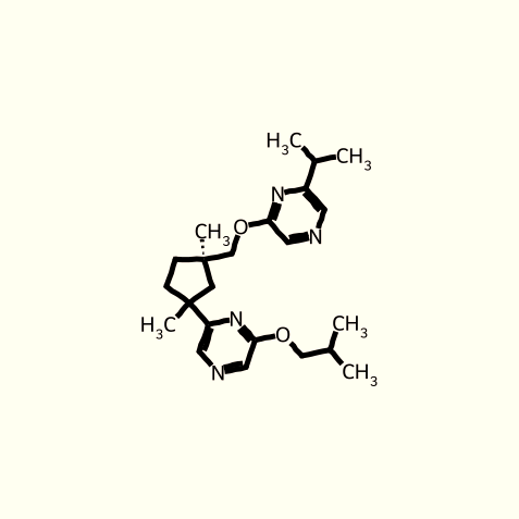 CC(C)COc1cncc(C2(C)CC[C@@](C)(COc3cncc(C(C)C)n3)C2)n1